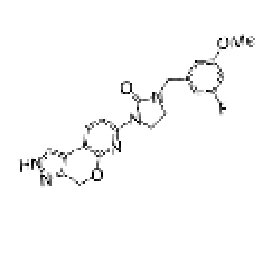 COc1cc(F)cc(CN2CCN(c3ccc4c(n3)OCc3n[nH]cc3-4)C2=O)c1